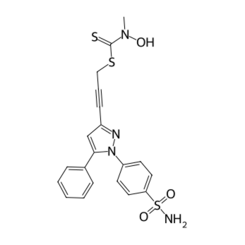 CN(O)C(=S)SCC#Cc1cc(-c2ccccc2)n(-c2ccc(S(N)(=O)=O)cc2)n1